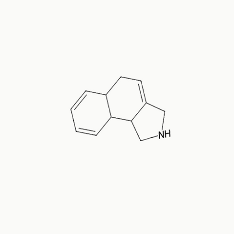 C1=CC2CC=C3CNCC3C2C=C1